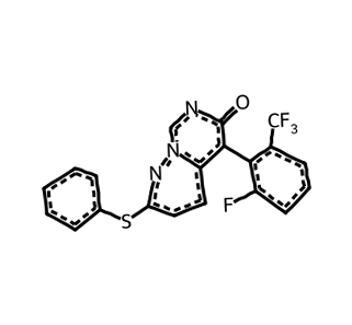 O=c1ncn2nc(Sc3ccccc3)ccc2c1-c1c(F)cccc1C(F)(F)F